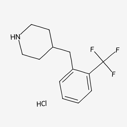 Cl.FC(F)(F)c1ccccc1CC1CCNCC1